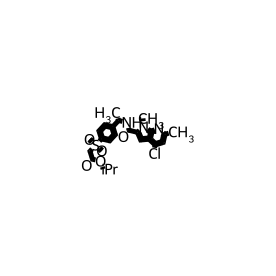 Cc1cc(Cl)c2cc(C(=O)NC(C)c3ccc(S(=O)(=O)CC(=O)OC(C)C)cc3)n(C)c2n1